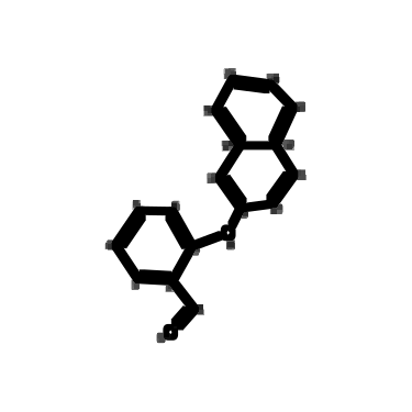 O=Cc1ccccc1Oc1ccc2ccccc2c1